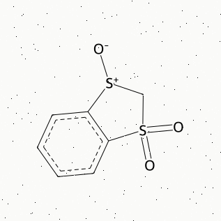 O=S1(=O)C[S+]([O-])c2ccccc21